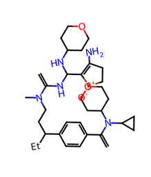 C=C(NC(NC1CCOCC1)C1=C(N)CC[S@+]1[O-])N(C)CCC(CC)c1ccc(C(=C)N(C2CCOCC2)C2CC2)cc1